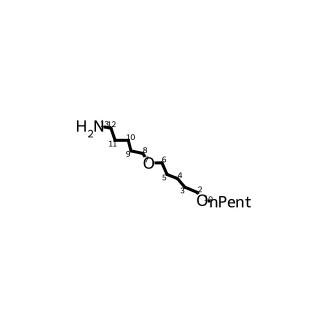 CCCCCOCCCCCOCCCCCN